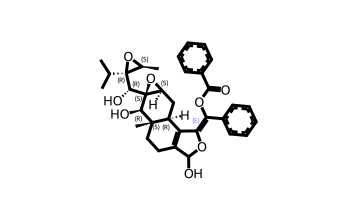 CC(C)[C@]1([C@@H](O)[C@]23O[C@H]2C[C@H]2C4=C(CC[C@]2(C)[C@H]3O)C(O)O/C4=C(/OC(=O)c2ccccc2)c2ccccc2)O[C@H]1C